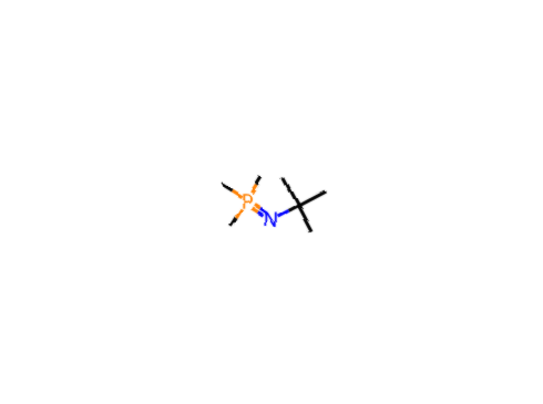 CC(C)(C)N=P(C)(C)C